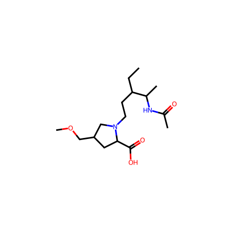 CCC(CCN1CC(COC)CC1C(=O)O)C(C)NC(C)=O